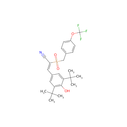 CC(C)(C)c1cc(C=C(C#N)S(=O)(=O)Cc2ccc(OC(F)(F)F)cc2)cc(C(C)(C)C)c1O